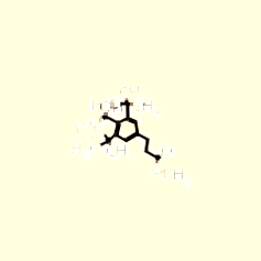 COC(=O)CCc1cc(C(C)(C)C)c(C(=O)O)c(C(C)(C)C)c1